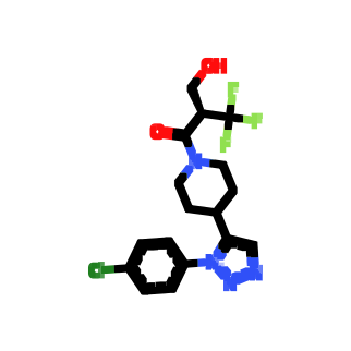 O=C([C@@H](CO)C(F)(F)F)N1CCC(c2cnnn2-c2ccc(Cl)cc2)CC1